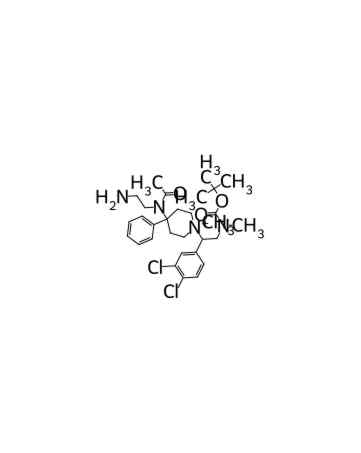 CC(=O)N(CCN)C1(c2ccccc2)CC[N+](C)(C(CN(C)C(=O)OC(C)(C)C)c2ccc(Cl)c(Cl)c2)CC1